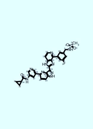 CS(=O)(=O)NCc1cc(F)cc(-c2nccc3[nH]c(-c4n[nH]c5ccc(-c6cncc(NC(=O)C7CC7)c6)nc45)nc23)c1